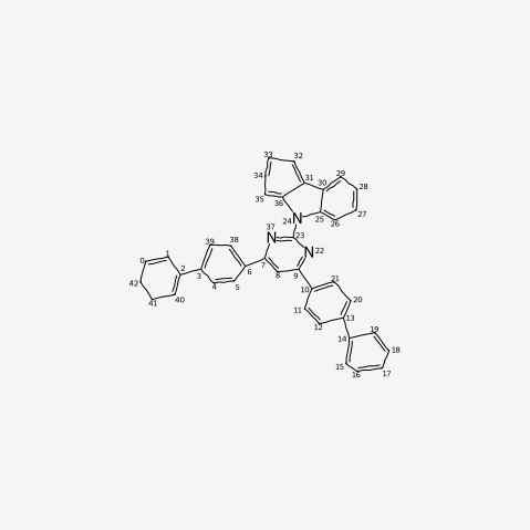 C1=CC(c2ccc(-c3cc(-c4ccc(-c5ccccc5)cc4)nc(-n4c5ccccc5c5ccccc54)n3)cc2)=CCC1